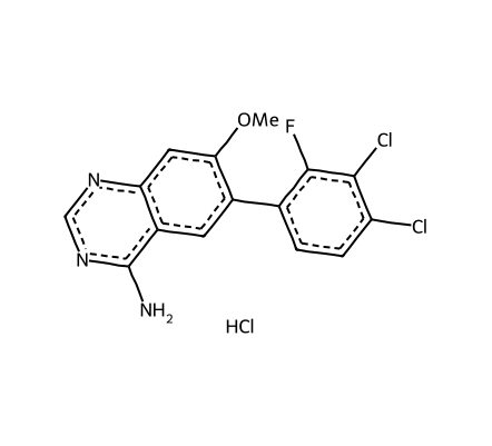 COc1cc2ncnc(N)c2cc1-c1ccc(Cl)c(Cl)c1F.Cl